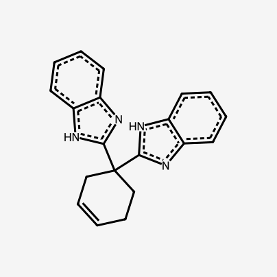 C1=CCC(c2nc3ccccc3[nH]2)(c2nc3ccccc3[nH]2)CC1